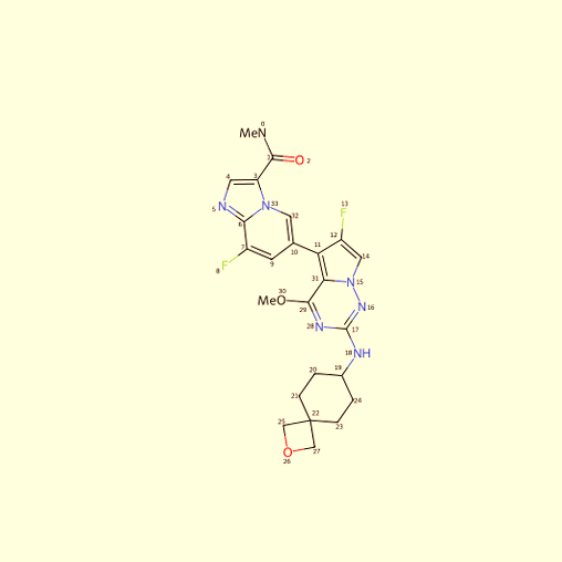 CNC(=O)c1cnc2c(F)cc(-c3c(F)cn4nc(NC5CCC6(CC5)COC6)nc(OC)c34)cn12